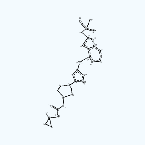 CC1(NC(=O)OC2CCC(c3cc(Nc4nccn5nc(CS(C)(=N)=O)cc45)n[nH]3)C2)CC1